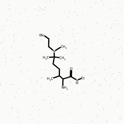 CCNC(=O)C(N)C(C)CCC(C)(C)N(C)CCC(C)(C)C